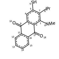 CNc1c2c(cc(S)c1C(C)C)C(=O)c1ccccc1C2=O